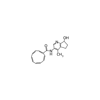 Cc1c(NC(=O)c2ccccccccc2)cnc2c1CCC2O